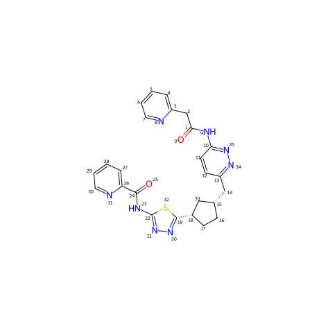 O=C(Cc1ccccn1)Nc1ccc(C[C@@H]2CC[C@H](c3nnc(NC(=O)c4ccccn4)s3)C2)nn1